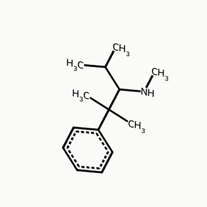 CNC(C(C)C)C(C)(C)c1ccccc1